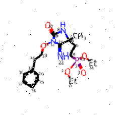 CCOP(=O)(CCC1(C)NC(=O)N(OCCc2ccccc2)C1=N)OCC